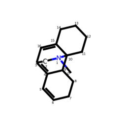 CN1CC2=C3C=CCCC3C13CCCCC3=C2